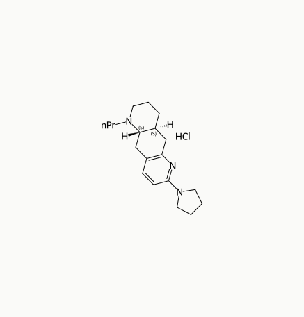 CCCN1CCC[C@H]2Cc3nc(N4CCCC4)ccc3C[C@@H]21.Cl